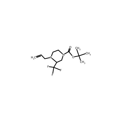 C=CCN1CCN(C(=O)OC(C)(C)C)CC1C(F)(F)F